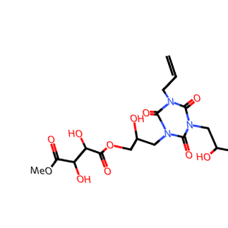 C=CCn1c(=O)n(CC(C)O)c(=O)n(CC(O)COC(=O)C(O)C(O)C(=O)OC)c1=O